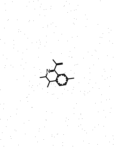 C=C(C)C1=NC(C)C(C)c2ccc(C)cc21